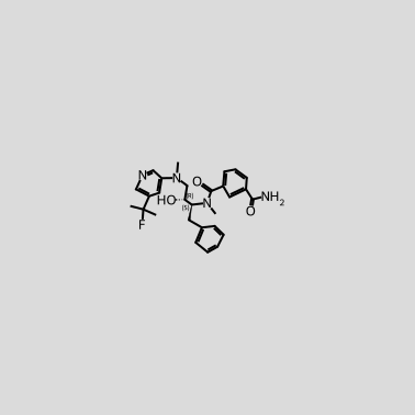 CN(C[C@@H](O)[C@H](Cc1ccccc1)N(C)C(=O)c1cccc(C(N)=O)c1)c1cncc(C(C)(C)F)c1